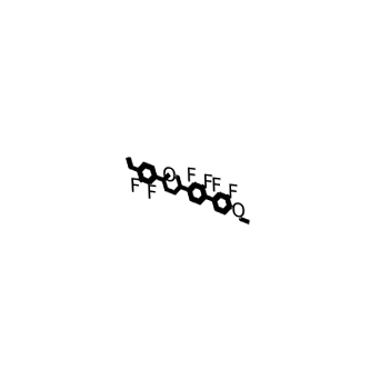 C=Cc1ccc(C2CCC(c3ccc(-c4ccc(OCC)c(F)c4F)c(F)c3F)CO2)c(F)c1F